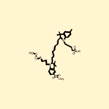 Cc1ccc2c(c1)C(C)(C)C(/C=C/C=C/C=C/C=C1/N(CCCSOOO)c3ccc(S(=O)(=O)O)cc3C1(C)C)=[N+]2CCCS(=O)(=O)O